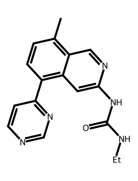 CCNC(=O)Nc1cc2c(-c3ccncn3)ccc(C)c2cn1